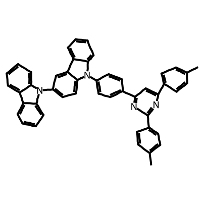 Cc1ccc(-c2cc(-c3ccc(-n4c5ccccc5c5cc(-n6c7ccccc7c7ccccc76)ccc54)cc3)nc(-c3ccc(C)cc3)n2)cc1